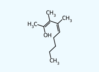 CCCCC=C(C)C(C)=C(C)O